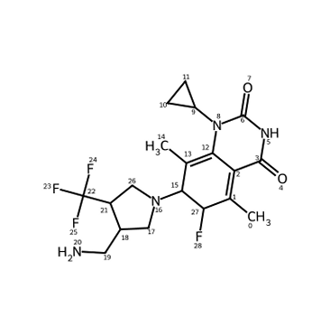 CC1=c2c(=O)[nH]c(=O)n(C3CC3)c2=C(C)C(N2CC(CN)C(C(F)(F)F)C2)C1F